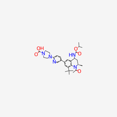 CC(=O)N1c2c(cc(-c3ccc(N4CCN(C(=O)O)CC4)nc3)cc2C(C)(C)C)[C@@H](NC(=O)OC(C)C)C[C@H]1C